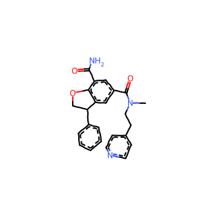 CN(CCc1ccncc1)C(=O)c1cc(C(N)=O)c2c(c1)C(c1ccccc1)CO2